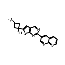 OC1(c2cc3cnc(-c4cnc5ncccc5c4)nc3s2)CC(C(F)(F)F)C1